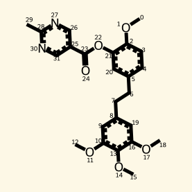 COc1ccc(CCc2cc(OC)c(OC)c(OC)c2)cc1OC(=O)c1cnc(C)nc1